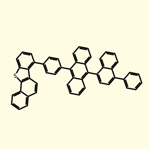 c1ccc(-c2ccc(-c3c4ccccc4c(-c4ccc(-c5cccc6sc7c8ccccc8ccc7c56)cc4)c4ccccc34)c3ccccc23)cc1